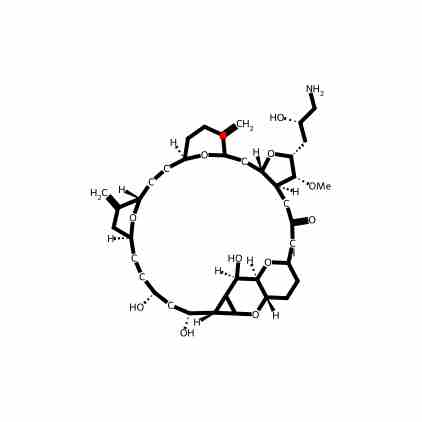 C=C1C[C@@H]2CC[C@@H](O)C[C@@H](O)[C@H]3C4O[C@H]5CC[C@H](CC(=O)C[C@@H]6[C@@H](OC)[C@@H](C[C@H](O)CN)O[C@H]6C[C@H]6O[C@H](CCC6=C)CC[C@@H]1O2)O[C@@H]5[C@H](O)C43